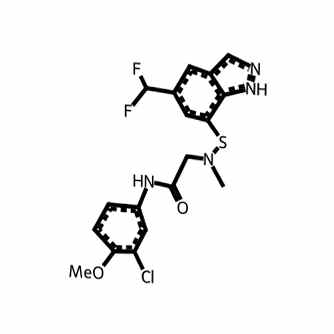 COc1ccc(NC(=O)CN(C)Sc2cc(C(F)F)cc3cn[nH]c23)cc1Cl